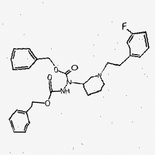 O=C(NN(C(=O)OCc1ccccc1)C1CCCN(CCc2cccc(F)c2)C1)OCc1ccccc1